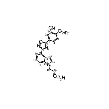 CC(C)Oc1ccc(-c2nc(-c3cccc4c3ccn4CCC(=O)O)no2)cc1C#N